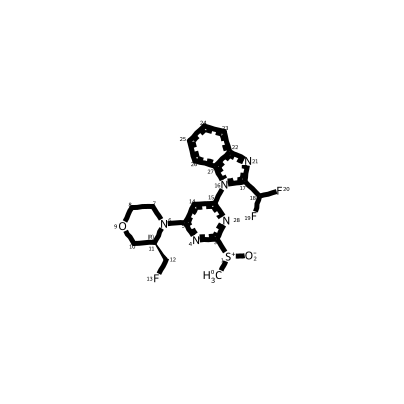 C[S+]([O-])c1nc(N2CCOC[C@@H]2CF)cc(-n2c(C(F)F)nc3ccccc32)n1